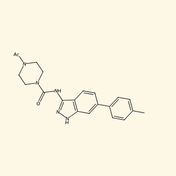 CC(=O)N1CCN(C(=O)Nc2n[nH]c3cc(-c4ccc(C)cc4)ccc23)CC1